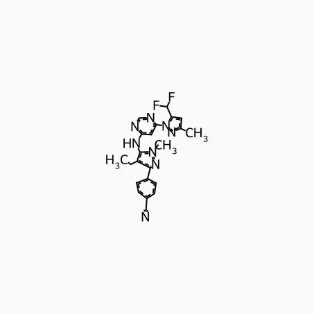 CCc1c(-c2ccc(C#N)cc2)nn(C)c1Nc1cc(-n2nc(C)cc2C(F)F)ncn1